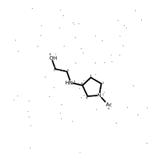 CC(=O)N1CCC(NCCO)C1